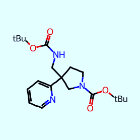 CC(C)(C)OC(=O)NCC1(c2ccccn2)CCN(C(=O)OC(C)(C)C)C1